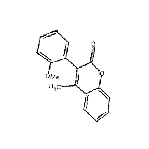 COc1ccccc1-c1c(C)c2ccccc2oc1=O